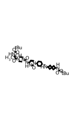 CC(C)(C)OC(=O)NC1CC2(CC(NC[C@H]3CC[C@H](n4ccc(NC(=O)N5CCN(C(=O)C(C)(C)NC(=O)OC(C)(C)C)CC5)nc4=O)CC3)C2)C1